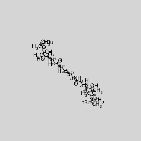 CC(C)(CO[Si](C)(C)C(C)(C)C)C(O)C(=O)NCCC(=O)NCCSSCCNC(=O)CCNC(=O)C(O)C(C)(C)CO[Si](C)(C)C(C)(C)C